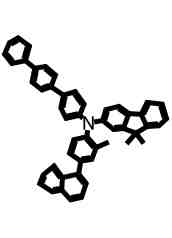 Cc1cc(-c2cccc3ccccc23)ccc1N(c1ccc(-c2ccc(-c3ccccc3)cc2)cc1)c1ccc2c(c1)C(C)(C)c1ccccc1-2